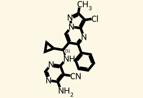 Cc1nn2cc([C@@H](Nc3ncnc(N)c3C#N)C3CC3)c(-c3ccccc3)nc2c1Cl